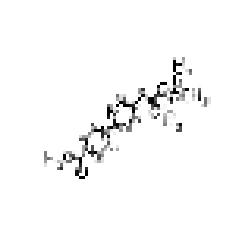 CC(=O)N1CCN(c2ncc(CC(=O)OC(C)(C)C)cn2)CC1